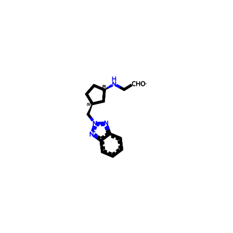 O=[C]CN[C@@H]1CC[C@H](Cn2nc3ccccc3n2)C1